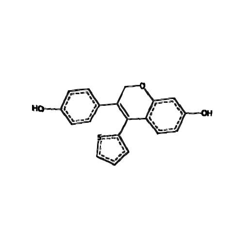 Oc1ccc(C2=C(c3cccs3)c3ccc(O)cc3OC2)cc1